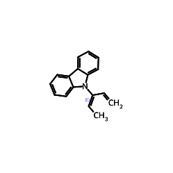 C=C/C(=C\C)n1c2ccccc2c2ccccc21